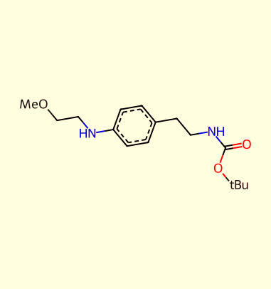 COCCNc1ccc(CCNC(=O)OC(C)(C)C)cc1